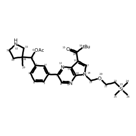 CC(=O)OC(c1cccc(-c2cnc3c(n2)c(C(=O)C(C)(C)C)cn3COCC[Si](C)(C)C)c1)C1(C)CCNC1